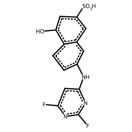 O=S(=O)(O)c1cc(O)c2ccc(Nc3cc(F)nc(F)n3)cc2c1